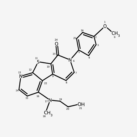 COc1ccc(-n2ccc3c(sc4nccc(N(C)CCO)c43)c2=O)cc1